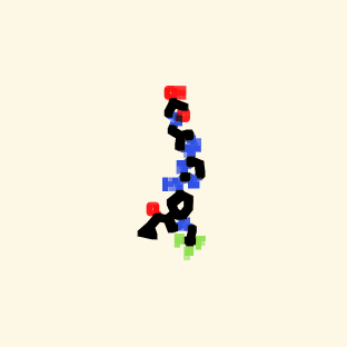 O=C(c1cn(CC(F)(F)F)c2ccc(Nc3nccc(-n4cc(CN5CC(O)CO5)cn4)n3)cc12)C1CC1